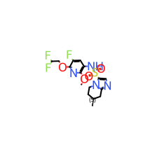 COc1nc(OCC(F)F)c(F)cc1NS(=O)(=O)c1cnc2n1CC[C@H](C)C2